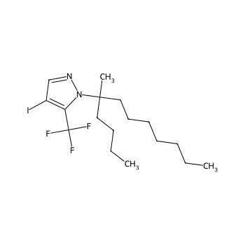 CCCCCCCC(C)(CCCC)n1ncc(I)c1C(F)(F)F